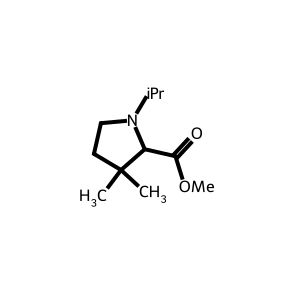 COC(=O)C1N(C(C)C)CCC1(C)C